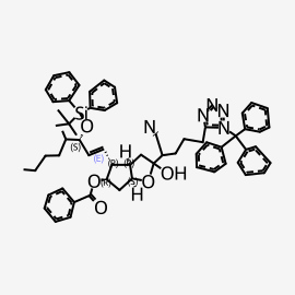 CCCCC(C)[C@@H](/C=C/[C@@H]1[C@H]2CC(O)(C(C#N)CCCc3nnnn3C(c3ccccc3)(c3ccccc3)c3ccccc3)O[C@H]2C[C@H]1OC(=O)c1ccccc1)O[Si](c1ccccc1)(c1ccccc1)C(C)(C)C